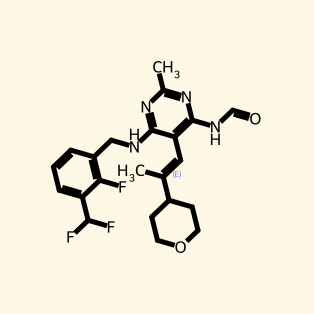 C/C(=C\c1c(NC=O)nc(C)nc1NCc1cccc(C(F)F)c1F)C1CCOCC1